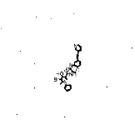 CC1=C(Br)C(O)C(C(=O)N[C@H]2COc3ccc(C#Cc4cccnc4)cc3N(C)C2=O)=CN1c1ccccc1